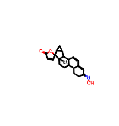 CCC12CCC3C4CC/C(=N\O)C=C4C=CC3C1C1CC1C21C=CC(=O)O1